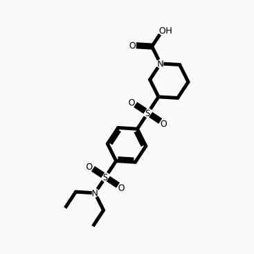 CCN(CC)S(=O)(=O)c1ccc(S(=O)(=O)C2CCCN(C(=O)O)C2)cc1